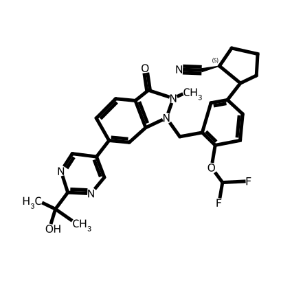 Cn1c(=O)c2ccc(-c3cnc(C(C)(C)O)nc3)cc2n1Cc1cc(C2CCC[C@@H]2C#N)ccc1OC(F)F